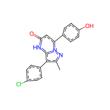 Cc1nn2c(-c3ccc(O)cc3)cc(=O)[nH]c2c1-c1ccc(Cl)cc1